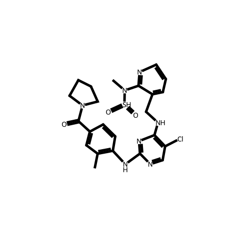 Cc1cc(C(=O)N2CCCC2)ccc1Nc1ncc(Cl)c(NCc2cccnc2N(C)[SH](=O)=O)n1